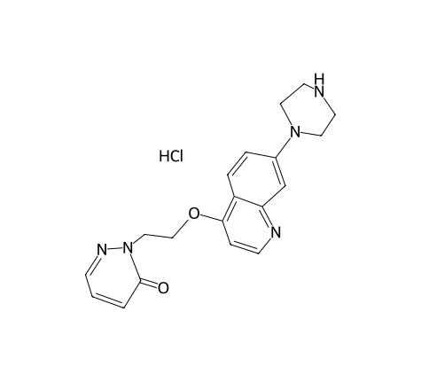 Cl.O=c1cccnn1CCOc1ccnc2cc(N3CCNCC3)ccc12